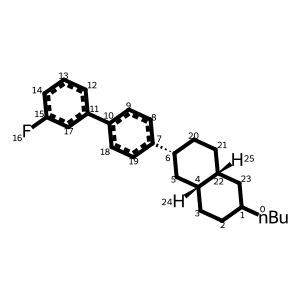 CCCCC1CC[C@@H]2C[C@H](c3ccc(-c4cccc(F)c4)cc3)CC[C@@H]2C1